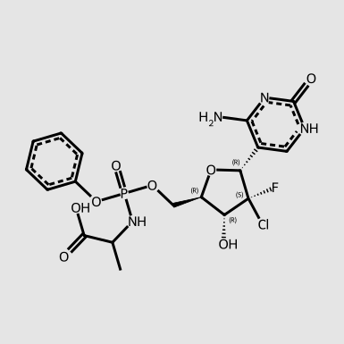 CC(NP(=O)(OC[C@H]1O[C@H](c2c[nH]c(=O)nc2N)[C@@](F)(Cl)[C@@H]1O)Oc1ccccc1)C(=O)O